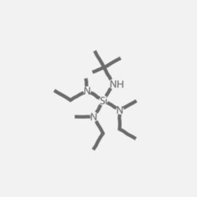 CCN(C)[Si](NC(C)(C)C)(N(C)CC)N(C)CC